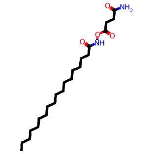 CCCCCCCCCCCCCCCCCC(=O)NOC(=O)CCC(N)=O